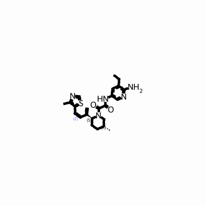 C=C(/C=C\c1scnc1C)[C@@H]1CC[C@@H](C)CN1C(=O)C(=O)Nc1cnc(N)c(CC)c1